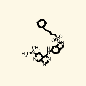 CN(C)c1cc2c(Nc3ccc4cnn(S(=O)(=O)CC=CCc5ccccc5)c4c3)ncnc2cn1